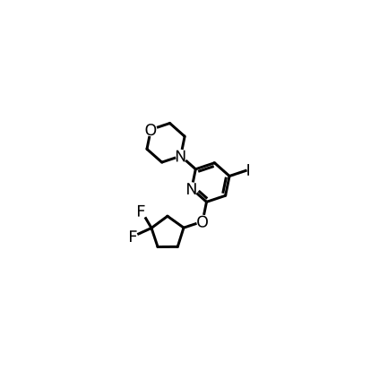 FC1(F)CCC(Oc2cc(I)cc(N3CCOCC3)n2)C1